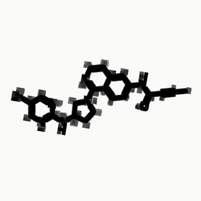 CC#CC(=O)Nc1ccc2c(N3CC[C@@H](Nc4ncc(Br)cn4)C3)nccc2c1